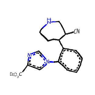 CCOC(=O)c1cn(-c2ccccc2C2CCNCC2C#N)cn1